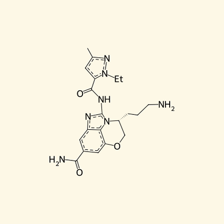 CCn1nc(C)cc1C(=O)Nc1nc2cc(C(N)=O)cc3c2n1[C@H](CCCN)CO3